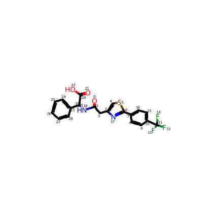 O=C(Cc1csc(-c2ccc(C(F)(F)F)cc2)n1)N[C@@H](C(=O)O)c1ccccc1